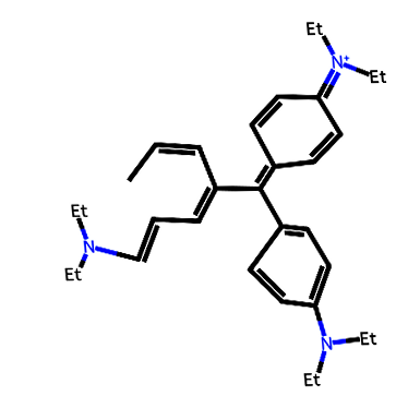 C\C=C/C(=C\C=C\N(CC)CC)C(=C1C=CC(=[N+](CC)CC)C=C1)c1ccc(N(CC)CC)cc1